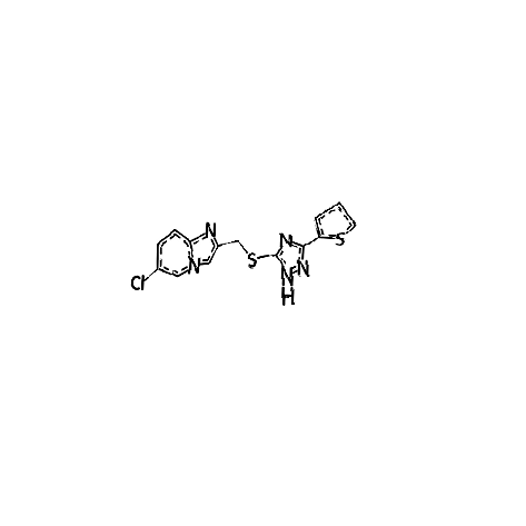 Clc1ccc2nc(CSc3nc(-c4cccs4)n[nH]3)cn2c1